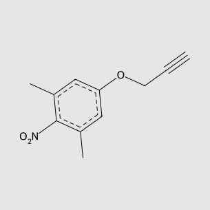 C#CCOc1cc(C)c([N+](=O)[O-])c(C)c1